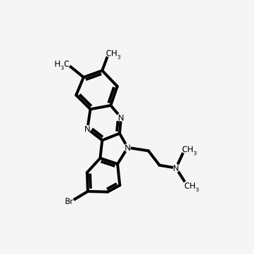 Cc1cc2nc3c4cc(Br)ccc4n(CCN(C)C)c3nc2cc1C